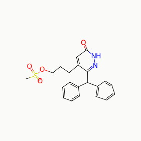 CS(=O)(=O)OCCCc1cc(=O)[nH]nc1C(c1ccccc1)c1ccccc1